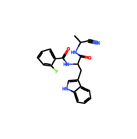 CC(C#N)NC(=O)C(Cc1c[nH]c2ccccc12)NC(=O)c1ccccc1F